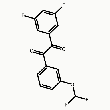 O=C(C(=O)c1cccc(OC(F)F)c1)c1cc(F)cc(F)c1